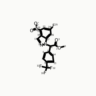 COC(=O)C(c1ccc(C(F)(F)F)cc1)n1ncc2c([N+](=O)[O-])cc(F)cc21